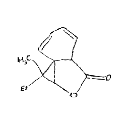 CCC1(C)C2OC(=O)C3C=CC=CC321